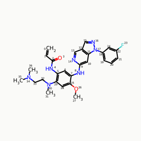 C=CC(=O)Nc1cc(Nc2cc3c(cn2)cnn3-c2cccc(F)c2)c(OC)cc1N(C)CCN(C)C